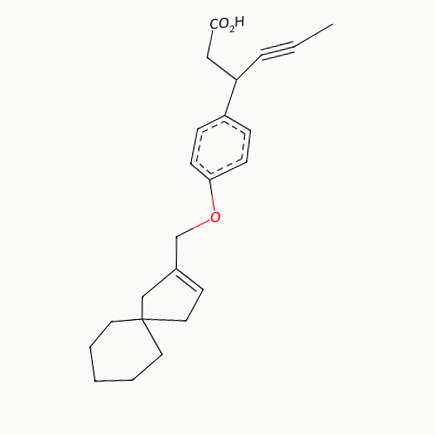 CC#CC(CC(=O)O)c1ccc(OCC2=CCC3(CCCCC3)C2)cc1